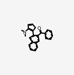 CN(C)C1=C(c2cc3ccccc3cc2C(=O)c2ccccc2)CC=C1